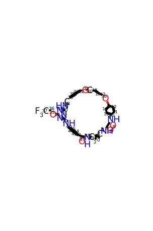 CC1(C)CNC(=O)C(=O)Nc2ccc(cc2)OC/C=C/COc2ccc(cc2)CNc2nc(nc(OCC(F)(F)F)n2)Nc2ccc(cc2)C(=O)NC1